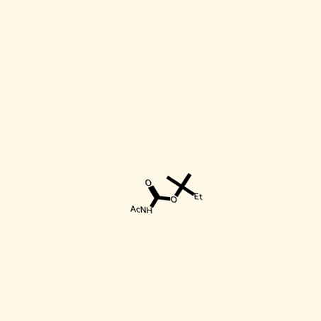 CCC(C)(C)OC(=O)NC(C)=O